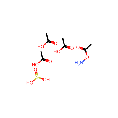 CC(=O)O.CC(=O)O.CC(=O)O.CC(=O)ON.O=S(O)O